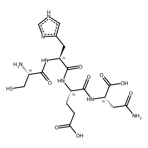 NC(=O)C[C@H](NC(=O)[C@H](CCC(=O)O)NC(=O)[C@H](Cc1c[nH]cn1)NC(=O)[C@@H](N)CS)C(=O)O